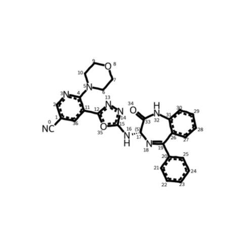 N#Cc1cnc(N2CCOCC2)c(-c2nnc(N[C@H]3N=C(c4ccccc4)c4ccccc4NC3=O)o2)c1